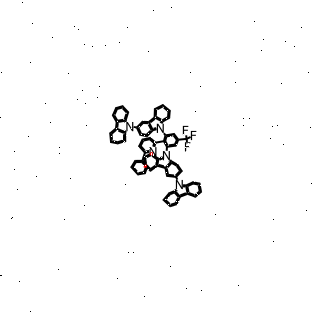 FC(F)(F)c1cc(-n2c3ccccc3c3cc(-n4c5ccccc5c5ccccc54)ccc32)c(-c2cccc(-c3ccccc3)n2)c(-n2c3ccccc3c3cc(-n4c5ccccc5c5ccccc54)ccc32)c1